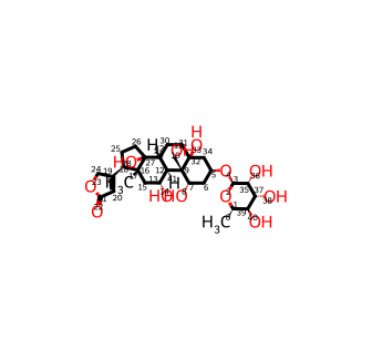 C[C@@H]1O[C@@H](O[C@H]2C[C@H](O)[C@]3(CO)[C@H]4[C@H](O)C[C@]5(C)[C@@H](C6=CC(=O)OC6)CCC5(O)[C@@H]4CC[C@]3(O)C2)[C@H](O)[C@H](O)[C@H]1O